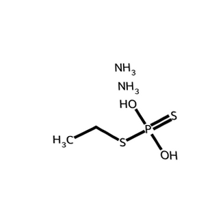 CCSP(O)(O)=S.N.N